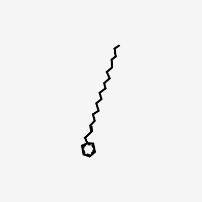 CCCCCCCCCCCCCCCC=C[CH]c1ccccc1